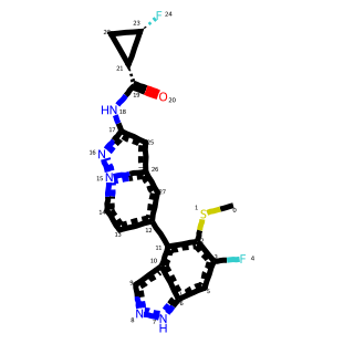 CSc1c(F)cc2[nH]ncc2c1-c1ccn2nc(NC(=O)[C@@H]3C[C@@H]3F)cc2c1